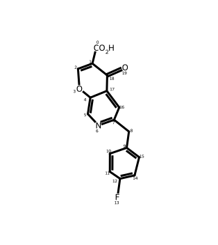 O=C(O)c1coc2cnc(Cc3ccc(F)cc3)cc2c1=O